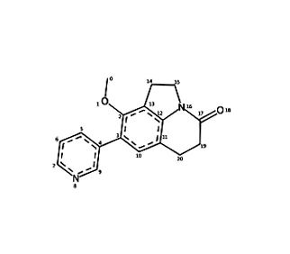 COc1c(-c2cccnc2)cc2c3c1CCN3C(=O)CC2